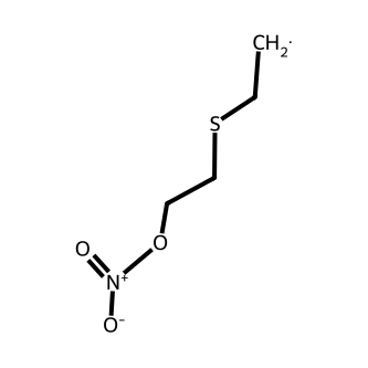 [CH2]CSCCO[N+](=O)[O-]